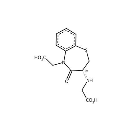 O=C(O)CN[C@H]1CSc2ccccc2N(CC(=O)O)C1=O